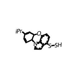 CC(C)C1=CC2Oc3ccc(SS)c4ccn(c34)C2C=C1